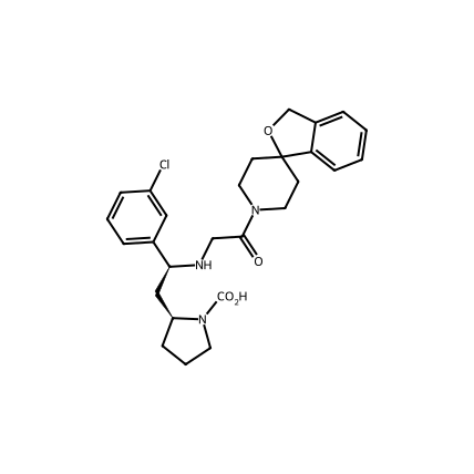 O=C(CN[C@@H](C[C@@H]1CCCN1C(=O)O)c1cccc(Cl)c1)N1CCC2(CC1)OCc1ccccc12